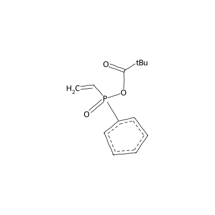 C=CP(=O)(OC(=O)C(C)(C)C)c1ccccc1